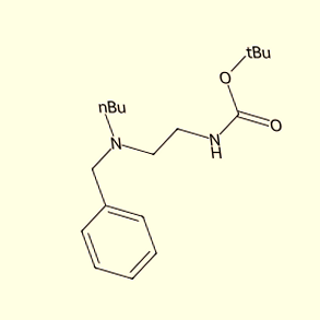 CCCCN(CCNC(=O)OC(C)(C)C)Cc1ccccc1